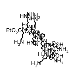 CCOC(=O)[C@H](CCCCN)NC(=O)/C(=C/CCNC(=N)N)NC(=O)[C@H](CCCCN)NC(=O)[C@H](Cc1cnc[nH]1)NC(=O)[C@@H]1CCCN1C(=O)/C(CCCN)=N/C(=O)CNC(=O)[C@@H](NC(=O)[C@@H](NC(=O)[C@@H](N)CCCCN)[C@@H](O)CN)[C@@H](O)CN